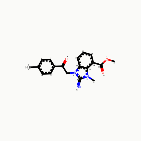 Bc1ccc(C(=O)Cn2c(=N)n(C)c3c(C(=O)OC)cccc32)cc1